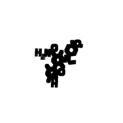 CCN(c1c(C)c(C(N)=O)cc(-c2c(C)cc(C)[nH]c2=O)c1C)C1CCC(C)(OC)CC1